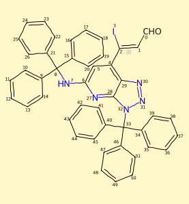 O=C/C=C(\I)c1cc(NC(c2ccccc2)(c2ccccc2)c2ccccc2)nc2c1nnn2C(c1ccccc1)(c1ccccc1)c1ccccc1